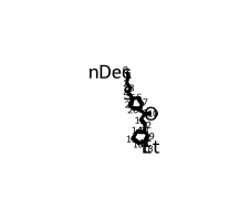 CCCCCCCCCCCCCSc1ccc(C(=O)/C=C/c2cccc(CC)c2)cc1